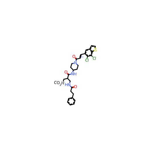 O=C(O)CC(CNC(=O)CCc1ccccc1)C(=O)NC1CCN(C(=O)/C=C/c2cc3ccsc3c(Cl)c2Cl)CC1